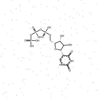 O=c1[nH]cc([C@@H]2O[C@H](COP(=O)(O)OP(=O)(O)OP(=O)(O)O)[C@H](O)C2O)c(=O)[nH]1